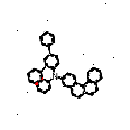 c1ccc(-c2ccc(N(c3ccccc3)c3ccc4c(ccc5ccc6ccccc6c54)c3)c(-c3ccccc3)c2)cc1